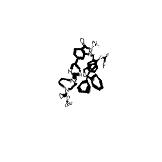 Cn1c(=O)c2ccc(-c3cnc(N4CCN(C(=O)OC(C)(C)C)CC4)nc3)cc2n1Cc1cc(COC(c2ccccc2)(c2ccccc2)c2ccccc2)ccc1OC(F)F